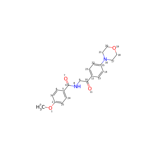 COc1ccc(C(=O)NCC(=O)c2ccc(N3CCOCC3)cc2)cc1